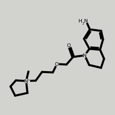 C[N+]1(CCCOCC(=O)N2CCCc3ccc(N)cc32)CCCC1